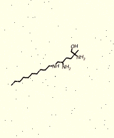 CCCCCCCCCCNCC(N)CCC(C)(N)CO